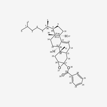 CC(C)CCC[C@@H](C)[C@H]1CC[C@H]2C3=CCC4CC5(OC(=O)c6ccccc6)OC5C[C@]4(C)[C@H]3CC[C@]12C